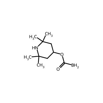 BC(=O)OC1CC(C)(C)NC(C)(C)C1